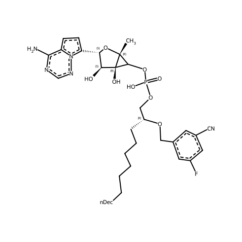 CCCCCCCCCCCCCCCC[C@H](COP(=O)(O)OC1[C@@]2(C)O[C@@H](c3ccc4c(N)ncnn34)[C@H](O)[C@@]12O)OCc1cc(F)cc(C#N)c1